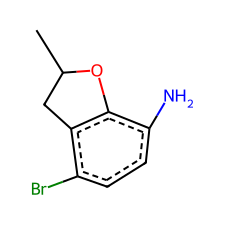 CC1Cc2c(Br)ccc(N)c2O1